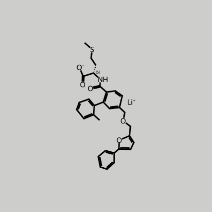 CSCC[C@H](NC(=O)c1ccc(COCc2ccc(-c3ccccc3)o2)cc1-c1ccccc1C)C(=O)[O-].[Li+]